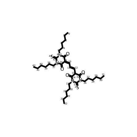 CCCCCCN1C(=O)C(=CC=CC2C(=O)N(CCCCCC)C(=S)N(CCCCCC)C2=O)C(=O)N(CCCCCC)C1=S